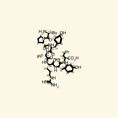 CC[C@H](C)[C@H](N)C(=O)N1CCC[C@H]1C(=O)N[C@@H](Cc1ccc(O)cc1)C(=O)N[C@H](C(=O)N[C@@H](CCCNC(=N)N)C(=O)N[C@@H](Cc1ccc(O)cc1)C(=O)N[C@@H](CC(C)C)C(=O)O)C(C)C